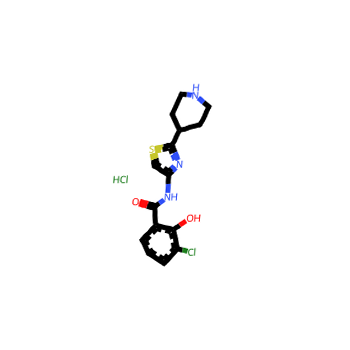 Cl.O=C(Nc1csc(C2CCNCC2)n1)c1cccc(Cl)c1O